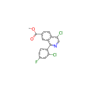 COC(=O)c1ccc2c(Cl)cnc(-c3ccc(F)cc3Cl)c2c1